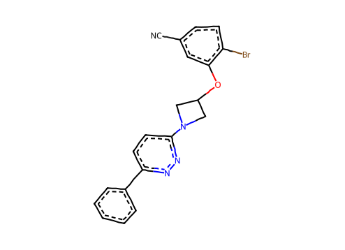 N#Cc1ccc(Br)c(OC2CN(c3ccc(-c4ccccc4)nn3)C2)c1